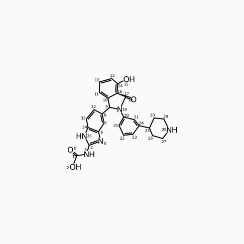 O=C(O)Nc1nc2cc(C3c4cccc(O)c4C(=O)N3c3cccc(C4CCNCC4)c3)ccc2[nH]1